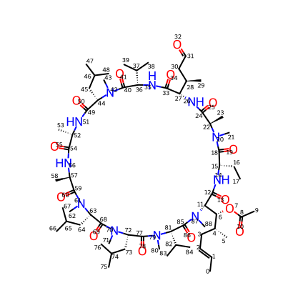 C/C=C/C[C@@H](C)[C@@H](OC(C)=O)[C@H]1C(=O)N[C@@H](CC)C(=O)N(C)[C@H](C)C(=O)N[C@@H]([C@H](C)CC=O)C(=O)N[C@@H](C(C)C)C(=O)N(C)[C@@H](CC(C)C)C(=O)N[C@@H](C)C(=O)N[C@H](C)C(=O)N(C)[C@@H](CC(C)C)C(=O)N(C)[C@@H](CC(C)C)C(=O)N(C)[C@@H](C(C)C)C(=O)N1C